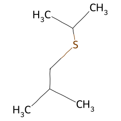 CC(C)CSC(C)C